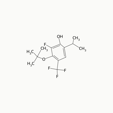 CC(C)c1cc(C(F)(F)F)c(OC(C)(C)C)c(F)c1O